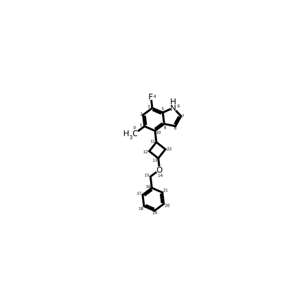 Cc1cc(F)c2[nH]ccc2c1C1CC(OCc2ccccc2)C1